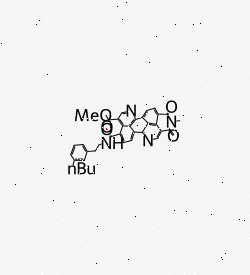 CCCCc1cccc(CCNC(=O)c2ccc3c4ncc5c6c(ccc(c7ncc(C(=O)OC)c2c37)c64)C(=O)N(C)C5=O)c1